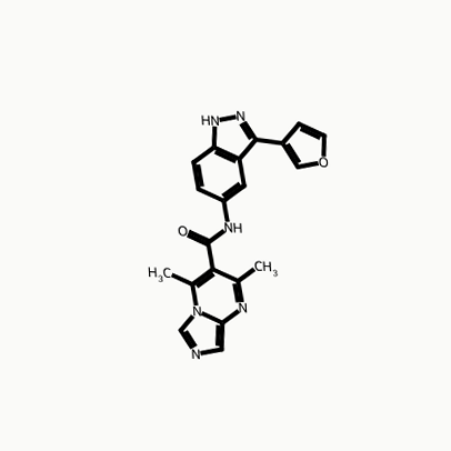 Cc1nc2cncn2c(C)c1C(=O)Nc1ccc2[nH]nc(-c3ccoc3)c2c1